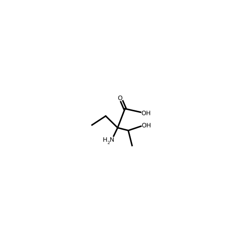 CCC(N)(C(=O)O)C(C)O